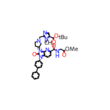 COC(=O)CNC(=O)c1ccc2c(n1)n([C@H]1CCN(Cc3ncc(C(=O)OC(C)(C)C)n3C)C1)c(=O)n2-c1ccc(-c2ccccc2)cc1